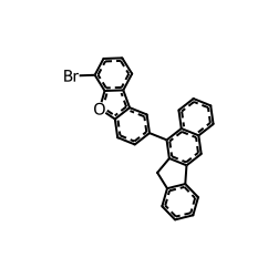 Brc1cccc2c1oc1ccc(-c3c4c(cc5ccccc35)-c3ccccc3C4)cc12